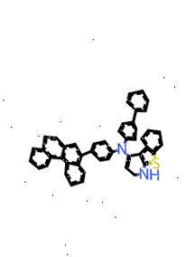 C1=C(N(c2ccc(-c3ccccc3)cc2)c2ccc(-c3cc4ccc5ccccc5c4c4ccccc34)cc2)c2c(sc3ccccc23)NC1